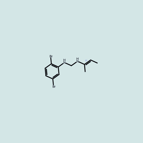 C/C=C(\C)NCNc1cc(Br)ccc1Br